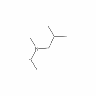 C[CH]N(C)CC(C)C